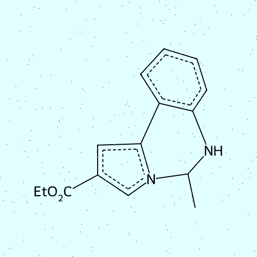 CCOC(=O)c1cc2n(c1)C(C)Nc1ccccc1-2